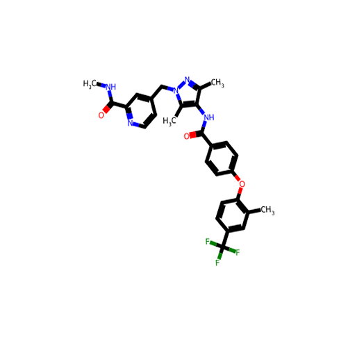 CNC(=O)c1cc(Cn2nc(C)c(NC(=O)c3ccc(Oc4ccc(C(F)(F)F)cc4C)cc3)c2C)ccn1